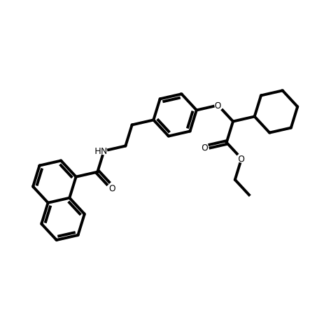 CCOC(=O)C(Oc1ccc(CCNC(=O)c2cccc3ccccc23)cc1)C1CCCCC1